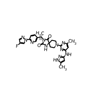 Cc1cc(Nc2cc(C)[nH]n2)nc(N2CCC3(CC2)NC(=O)N([C@@H](C)c2ccc(-n4cc(F)cn4)nc2)C3=O)n1